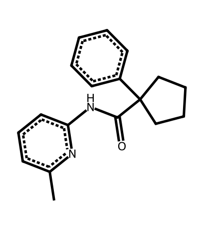 Cc1cccc(NC(=O)C2(c3ccccc3)CCCC2)n1